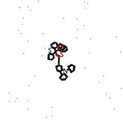 C1=CC2=C(CC1)C1(C3=C(C=C(c4ccc5c6ccccc6n(-c6ccccc6)c5c4)CC3)Sc3ccccc31)c1c(cccc1-c1ccccc1)S2